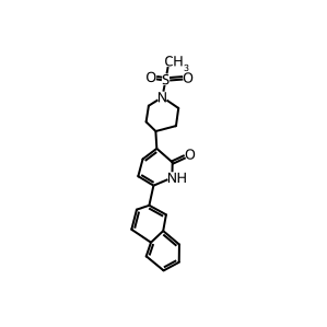 CS(=O)(=O)N1CCC(c2ccc(-c3ccc4ccccc4c3)[nH]c2=O)CC1